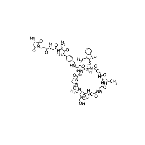 CCCC1NC(=O)CNC(=O)CNC(=O)C(C[C@@H](O)CO)N(C)C(=O)[C@@H]2CCCN2C(=O)[C@H](CC(=O)NCc2ccc(NC(=O)[C@H](C)NC(=O)CNC(=O)CCN3C(=O)CC(S)C3=O)cc2)NC(=O)[C@H](CSc2[nH]c3ccccc3c2C)NC(=O)CNC1=O